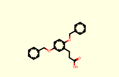 O=C(O)CCc1cc(OCc2ccccc2)ccc1OCc1ccccc1